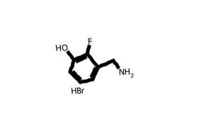 Br.NCc1cccc(O)c1F